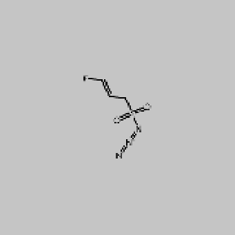 [N-]=[N+]=NS(=O)(=O)CC=CF